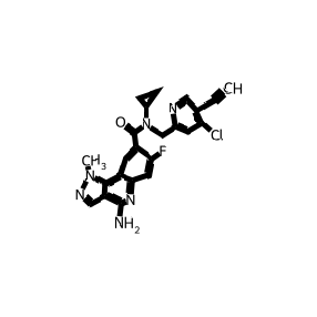 C#Cc1cnc(CN(C(=O)c2cc3c(cc2F)nc(N)c2cnn(C)c23)C2CC2)cc1Cl